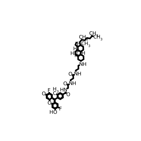 Cc1cc(C(=O)NCC(=O)NCCC(=O)NCCCN[C@H]2CC[C@@]3(C)C(=CC[C@H]4[C@@H]5CC[C@H]([C@H](C)CCCC(C)C)[C@@]5(C)CC[C@@H]43)C2)ccc1-c1c2cc(F)c(=O)cc-2oc2cc(O)c(F)cc12